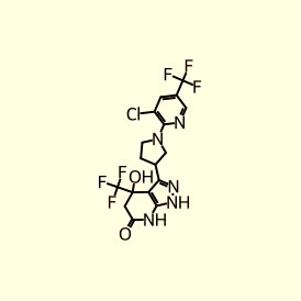 O=C1CC(O)(C(F)(F)F)c2c(C3CCN(c4ncc(C(F)(F)F)cc4Cl)C3)n[nH]c2N1